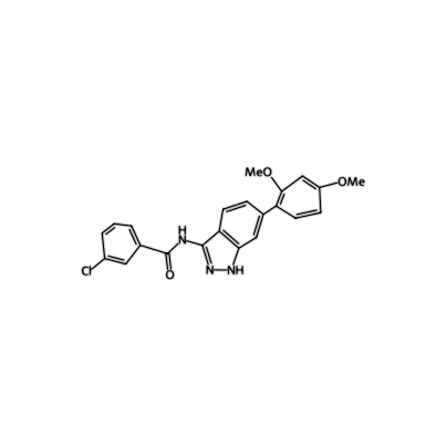 COc1ccc(-c2ccc3c(NC(=O)c4cccc(Cl)c4)n[nH]c3c2)c(OC)c1